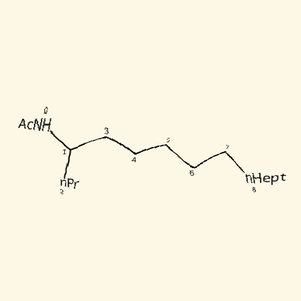 [CH]C(=O)NC(CCC)CCCCCCCCCCCC